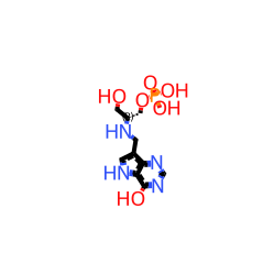 O=P(O)(O)OC[C@@H](CO)NCc1c[nH]c2c(O)ncnc12